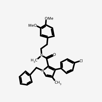 COc1ccc(CCN(C)C(=O)c2c(-c3ccc(Cl)cc3)c(C)cn2Cc2ccccc2)cc1OC